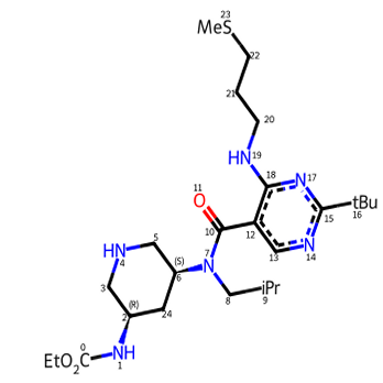 CCOC(=O)N[C@H]1CNC[C@@H](N(CC(C)C)C(=O)c2cnc(C(C)(C)C)nc2NCCCSC)C1